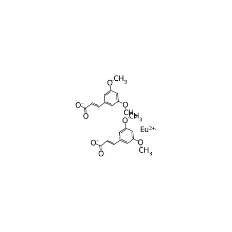 COc1cc(C=CC(=O)[O-])cc(OC)c1.COc1cc(C=CC(=O)[O-])cc(OC)c1.[Eu+2]